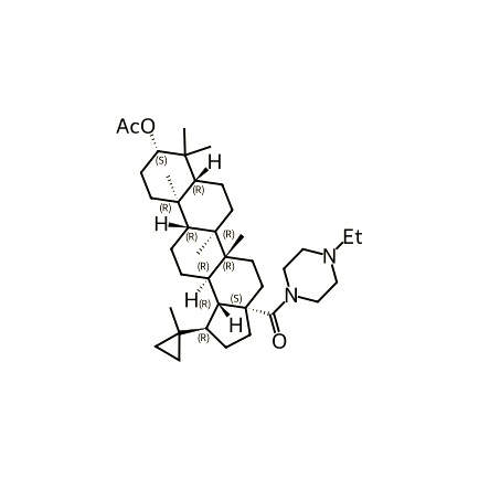 CCN1CCN(C(=O)[C@]23CC[C@@H](C4(C)CC4)[C@@H]2[C@H]2CC[C@@H]4[C@@]5(C)CC[C@H](OC(C)=O)C(C)(C)[C@@H]5CC[C@@]4(C)[C@]2(C)CC3)CC1